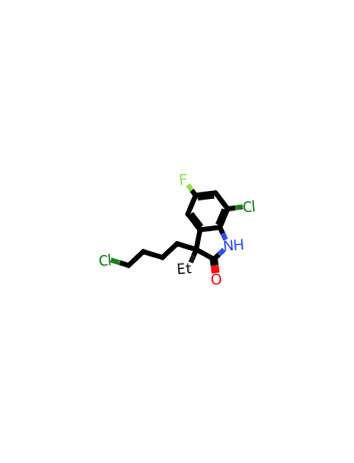 CCC1(CCCCCl)C(=O)Nc2c(Cl)cc(F)cc21